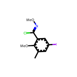 CO/N=C(\Cl)c1cc(I)cc(C)c1OC